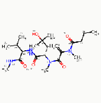 C=C(C(=O)N(C)[C@@H](CC(C)(C)O)C(=O)NC(C(=O)NC)C(C)C)N(C)C(=O)CCC